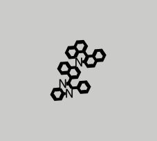 c1ccc(-c2nc3ccccc3nc2-c2ccc(N3c4ccc5ccccc5c4-c4cccc5cccc3c45)c3ccccc23)cc1